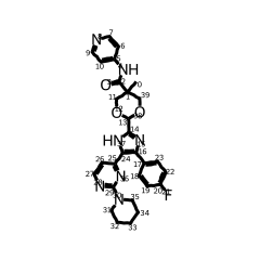 CC1(C(=O)Nc2ccncc2)COC(c2nc(-c3ccc(F)cc3)c(-c3ccnc(N4CCCCC4)n3)[nH]2)OC1